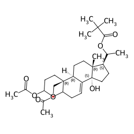 CC(=O)OC[C@]12CCC(OC(C)=O)CC1CC=C1[C@@H]2CC[C@]2(C)[C@@H](C(C)OC(=O)C(C)(C)C)CC[C@@]12O